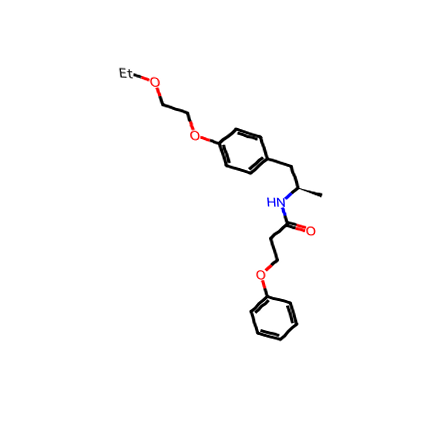 CCOCCOc1ccc(C[C@@H](C)NC(=O)CCOc2ccccc2)cc1